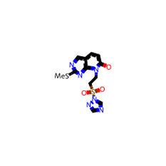 CSc1ncc2ccc(=O)n(CCS(=O)(=O)n3cncn3)c2n1